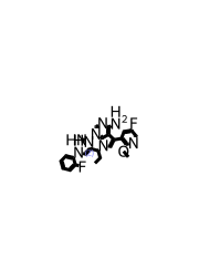 CCC(/C(=C/Nc1ccccc1F)N=N)n1cc(-c2cc(F)cnc2OC)c2c(N)ncnc21